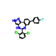 Fc1ccc(-c2ccc3c(c2)N=C(c2c(Cl)cccc2Cl)Nc2c[nH]nc2-3)cc1